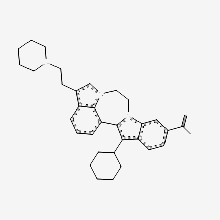 O=C(O)c1ccc2c(C3CCCCC3)c3n(c2c1)CCn1cc(CCN2CCCCC2)c2cccc-3c21